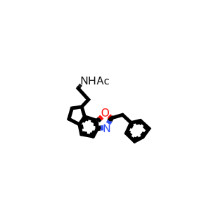 CC(=O)NCCC1CCc2ccc3nc(Cc4ccccc4)oc3c21